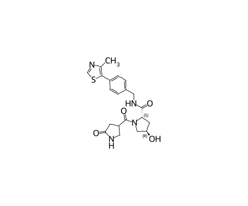 Cc1ncsc1-c1ccc(CNC(=O)[C@@H]2C[C@@H](O)CN2C(=O)C2CNC(=O)C2)cc1